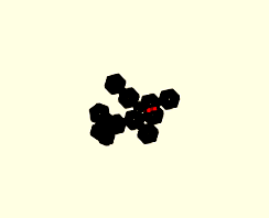 c1ccc(-c2ccc(N(c3ccc(-c4ccccc4)cc3)c3cc(-c4ccc5c(c4)-c4ccccc4C54C5CC6CC(C5)C4C6)cc(-c4ccccc4)c3-c3ccccc3)cc2)cc1